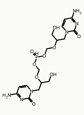 Nc1ccn(CC(CO)OCO[PH](=O)OCOC(CO)Cn2ccc(N)nc2=O)c(=O)n1